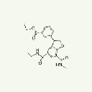 CCNC(=O)c1cc(C(=O)NC)c2c(c1)C(c1cccc(S(=O)OCC)c1)CO2